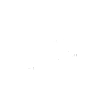 CC(=O)NC(CCCCN)C(=O)S#[SH]